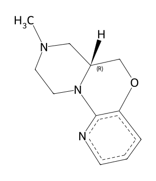 CN1CCN2c3ncccc3OC[C@H]2C1